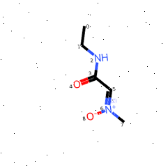 CCNC(=O)/C=[N+](/C)[O-]